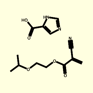 C=C(C#N)C(=O)OCCOC(C)C.O=C(O)c1cnc[nH]1